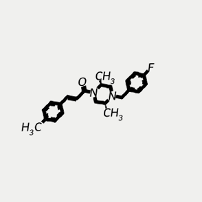 Cc1ccc(C=CC(=O)N2C[C@@H](C)N(Cc3ccc(F)cc3)C[C@@H]2C)cc1